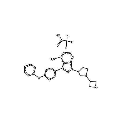 Nc1ncnc2c1c(-c1ccc(Oc3ccccc3)cc1)nn2C1CCN(C2CNC2)C1.O=C(O)C(F)(F)F